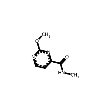 CNC(=O)c1ccnc(OC)n1